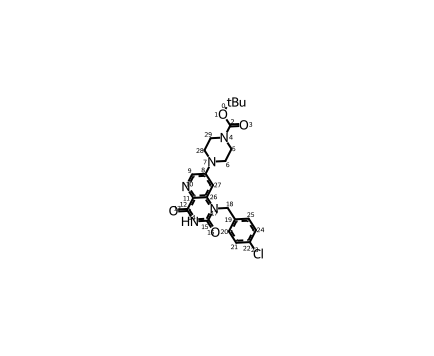 CC(C)(C)OC(=O)N1CCN(c2cnc3c(=O)[nH]c(=O)n(Cc4ccc(Cl)cc4)c3c2)CC1